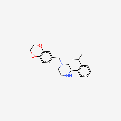 CC(C)c1ccccc1[C@@H]1CN(Cc2ccc3c(c2)OCCO3)CCN1